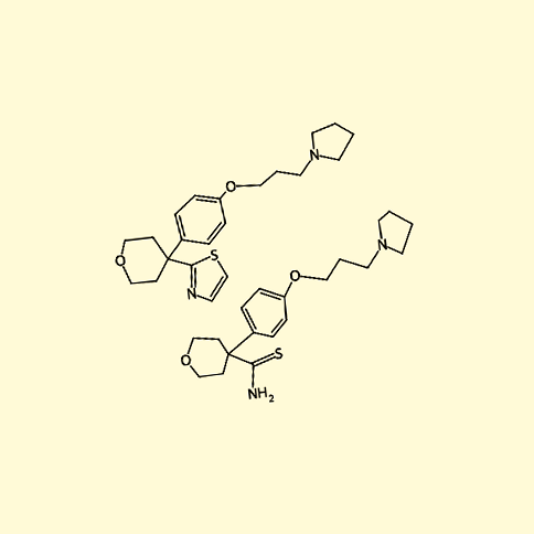 NC(=S)C1(c2ccc(OCCCN3CCCC3)cc2)CCOCC1.c1csc(C2(c3ccc(OCCCN4CCCC4)cc3)CCOCC2)n1